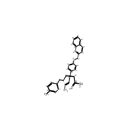 CC=CC(CCCc1ccc(Cl)cc1)(CC(=O)S)c1ccc(OCc2ccc3ccccc3n2)cc1